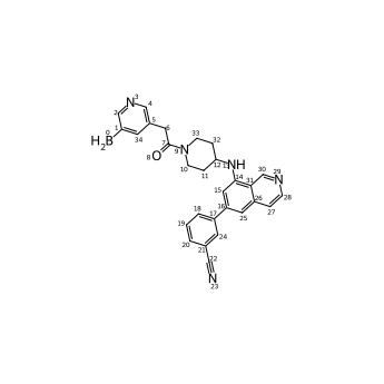 Bc1cncc(CC(=O)N2CCC(Nc3cc(-c4cccc(C#N)c4)cc4ccncc34)CC2)c1